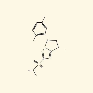 O=S(=O)(c1nc2n(n1)[C@H](c1cc(F)ccc1F)C[C@@H]2F)C(F)F